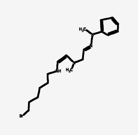 CN(/C=C\NCCCCCCBr)C/C=N/N(C)c1ccccc1